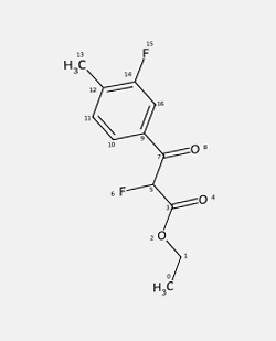 CCOC(=O)C(F)C(=O)c1ccc(C)c(F)c1